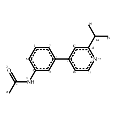 CC(=O)Nc1cccc(-c2ccnc(C(C)C)c2)c1